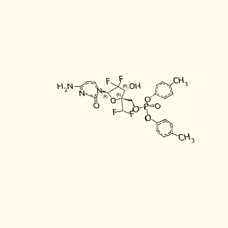 Cc1ccc(OP(=O)(OC[C@@]2(C(F)F)O[C@@H](n3ccc(N)nc3=O)C(F)(F)[C@@H]2O)Oc2ccc(C)cc2)cc1